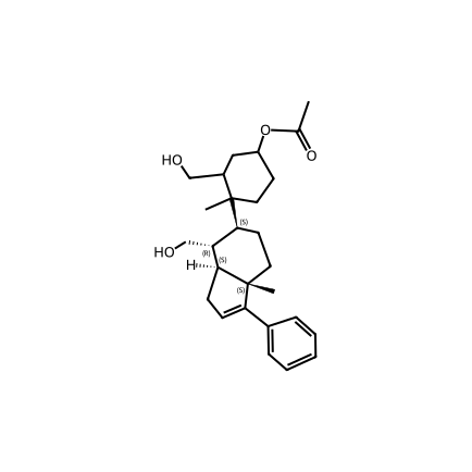 CC(=O)OC1CCC(C)([C@H]2CC[C@]3(C)C(c4ccccc4)=CC[C@H]3[C@@H]2CO)C(CO)C1